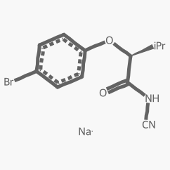 CC(C)[C@H](Oc1ccc(Br)cc1)C(=O)NC#N.[Na]